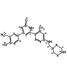 Cc1cc(-c2cc(-c3ccc(NCC4CCNCC4)cc3C)[nH]c(=O)n2)ccc1O